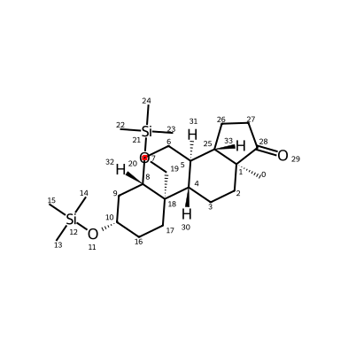 C[C@]12CC[C@H]3[C@@H](CC[C@H]4C[C@@H](O[Si](C)(C)C)CC[C@@]43CO[Si](C)(C)C)[C@@H]1CCC2=O